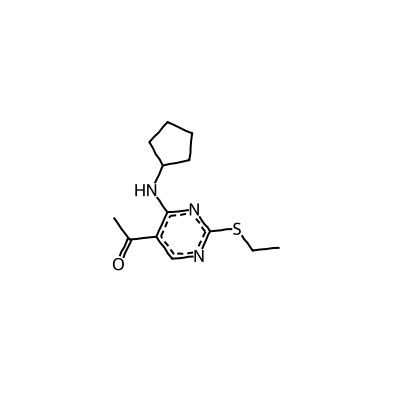 CCSc1ncc(C(C)=O)c(NC2CCCC2)n1